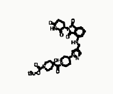 CC(C)(C)OC(=O)N1CCC(O)(C(=O)N2CCC(n3cc(CNc4cccc5c4C(=O)N(C4CCC(=O)NC4=O)C5=O)cn3)CC2)CC1